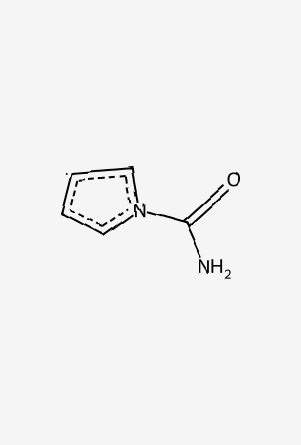 NC(=O)n1c[c]cc1